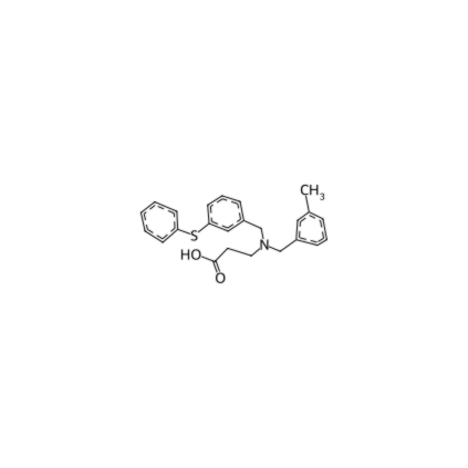 Cc1cccc(CN(CCC(=O)O)Cc2cccc(Sc3ccccc3)c2)c1